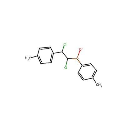 Cc1ccc(C(Cl)C(Cl)[S+]([O-])c2ccc(C)cc2)cc1